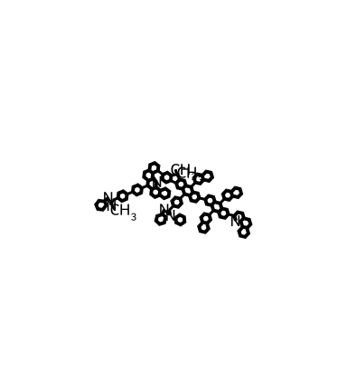 Cn1c(-c2ccc(-c3ccc(-c4c5ccc6ccccc6c5nc5c4ccc4cccc(-c6ccc7c(c6)C(C)(C)c6cc8c(-c9ccc%10ccccc%10c9)c9cc(-c%10ccc%11c(-c%12ccc%13ccccc%13c%12)c%12cc(-c%13ccc%14ccc%15ccccc%15c%14n%13)ccc%12c(-c%12ccc%13ccccc%13c%12)c%11c%10)ccc9c(-c9ccc(-c%10nc%11ccccc%11n%10-c%10ccccc%10)cc9)c8cc6-7)c45)cc3)cc2)nc2ccccc21